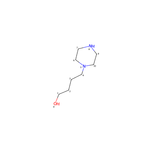 OCCCCN1CCNCC1